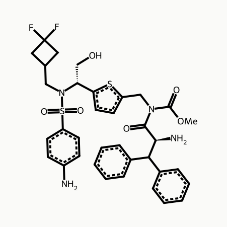 COC(=O)N(Cc1ccc([C@@H](CO)N(CC2CC(F)(F)C2)S(=O)(=O)c2ccc(N)cc2)s1)C(=O)[C@@H](N)C(c1ccccc1)c1ccccc1